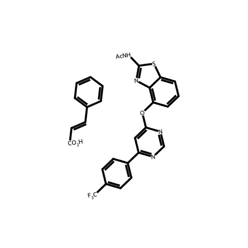 CC(=O)Nc1nc2c(Oc3cc(-c4ccc(C(F)(F)F)cc4)ncn3)cccc2s1.O=C(O)/C=C/c1ccccc1